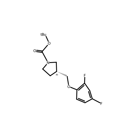 CC(C)(C)OC(=O)N1CC[C@@H](COc2ccc(F)cc2F)C1